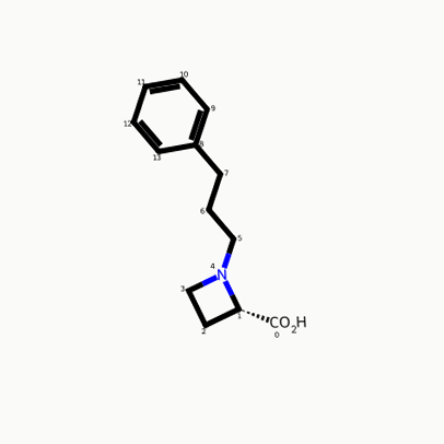 O=C(O)[C@@H]1CCN1CCCc1ccccc1